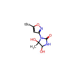 CC(C)(C)c1cc(N2C(=O)NC(O)C2(C)O)no1